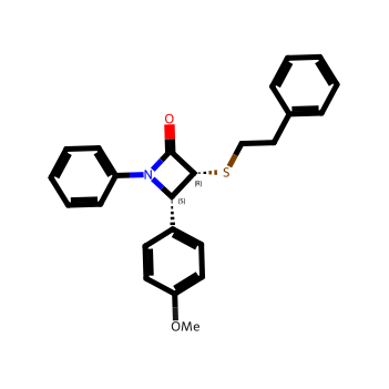 COc1ccc([C@H]2[C@@H](SCCc3ccccc3)C(=O)N2c2ccccc2)cc1